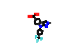 Cn1cc2c3cc(B(O)O)ccc3n(-c3ccc(C(F)(F)F)cc3)c2n1